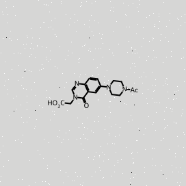 CC(=O)N1CCN(c2ccc3ncn(CC(=O)O)c(=O)c3c2)CC1